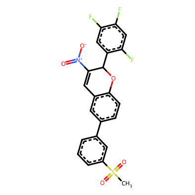 CS(=O)(=O)c1cccc(-c2ccc3c(c2)C=C([N+](=O)[O-])C(c2cc(F)c(F)cc2F)O3)c1